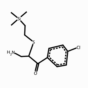 C[Si](C)(C)CCSC(CN)C(=O)c1ccc(Cl)cc1